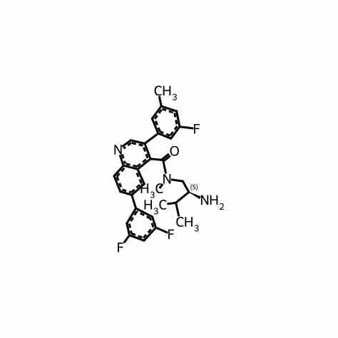 Cc1cc(F)cc(-c2cnc3ccc(-c4cc(F)cc(F)c4)cc3c2C(=O)N(C)C[C@@H](N)C(C)C)c1